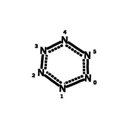 n1nnnnn1